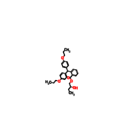 CCCOc1ccc(C(c2ccc(OCCC)cc2)c2ccccc2C(=O)OCC(O)CC)cc1